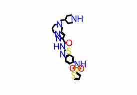 O=C(Nc1nc2ccc(NS(=O)(=O)c3cccs3)cc2s1)c1cc2n(n1)CCCN(CC1CCNCC1)C2